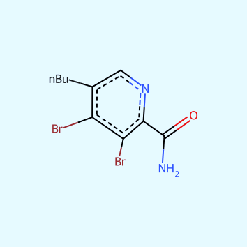 CCCCc1cnc(C(N)=O)c(Br)c1Br